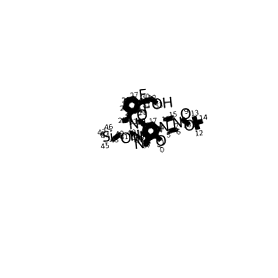 COc1c(N2CCN(C(=O)OC(C)(C)C)CC2)cc(C(=O)NC(C)c2cccc(C(F)(F)CO)c2)c2c1cnn2COCC[Si](C)(C)C